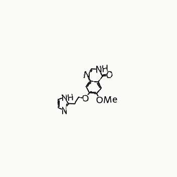 COc1cc2c(=O)[nH]cnc2cc1OCCc1ncc[nH]1